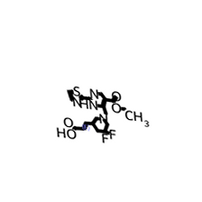 CCOC(=O)C1=C(CN2CC(/C=C/C(=O)O)CC(F)(F)C2)NC(c2nccs2)=NC1